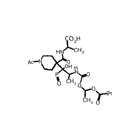 CC(=O)N1CCC(C(=O)NC(C)C(=O)O)(C(O)(P=O)C(C)NC(=O)OC(C)OC(=O)C(C)C)CC1